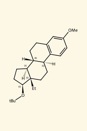 CC[C@]12CC[C@@H]3c4ccc(OC)cc4CC[C@H]3[C@@H]1CC[C@@H]2OC(C)(C)C